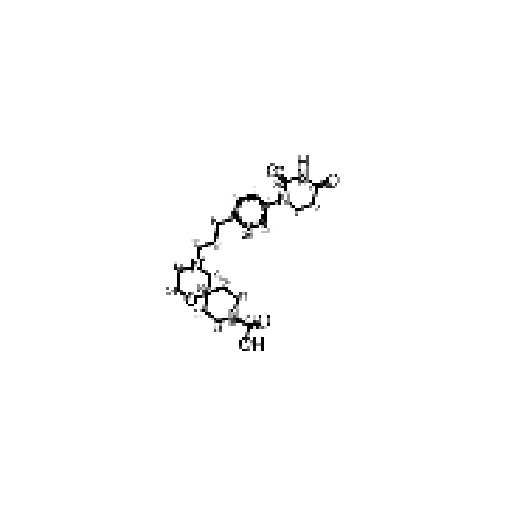 O=C1CCN(c2ccc(CCCN3CCOC4(CCN(C(=O)O)CC4)C3)cc2)C(=O)N1